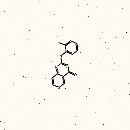 Cc1ccccc1Nc1nc2ccscc-2c(=O)n1